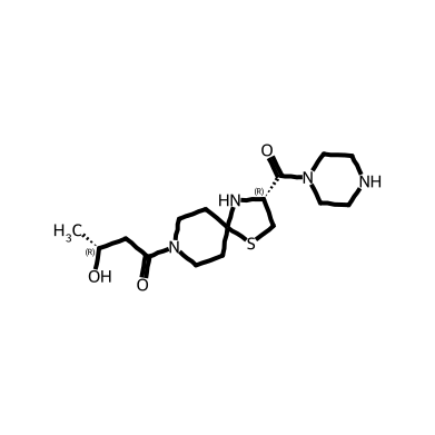 C[C@@H](O)CC(=O)N1CCC2(CC1)N[C@H](C(=O)N1CCNCC1)CS2